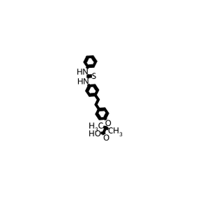 CC(C)(Oc1ccc(CCc2ccc(NC(=S)Nc3ccccc3)cc2)cc1)C(=O)O